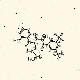 Cc1cc(F)ccc1N1CCN(C(=O)O)CC1C(=O)N(C)[C@H](C)c1cc(C(F)(F)F)cc(C(F)(F)F)c1